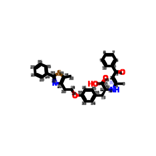 C/C(=C\C(=O)c1ccccc1)N[C@@H](Cc1ccc(OCCc2nc(-c3ccccc3)sc2C)cc1)C(=O)O